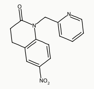 O=C1CCc2cc([N+](=O)[O-])ccc2N1Cc1ccccn1